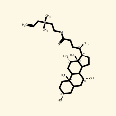 C=CC[N+](C)(C)CCNC(=O)CC[C@@H](C)[C@H]1CCC2C3C(C[C@H](O)[C@@]21C)[C@@]1(C)CC[C@@H](O)CC1C[C@H]3O